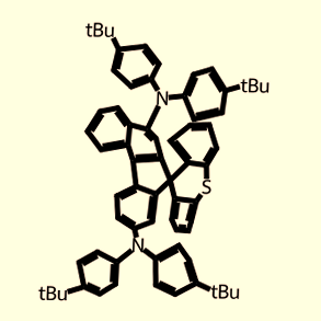 CC(C)(C)c1ccc(N(c2ccc(C(C)(C)C)cc2)c2ccc3c(c2)C2(c4ccccc4Sc4ccccc42)c2cc(N(c4ccc(C(C)(C)C)cc4)c4ccc(C(C)(C)C)cc4)c4ccccc4c2-3)cc1